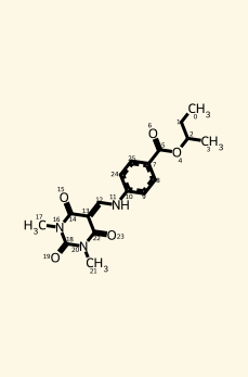 CCC(C)OC(=O)c1ccc(NC=C2C(=O)N(C)C(=O)N(C)C2=O)cc1